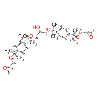 OC(COC(c1ccc(C(OCC2CO2)(C(F)(F)F)C(F)(F)F)cc1)(C(F)(F)F)C(F)(F)F)COC(c1ccc(C(OCC2CO2)(C(F)(F)F)C(F)(F)F)cc1)(C(F)(F)F)C(F)(F)F